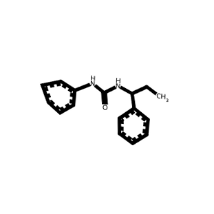 CCC(NC(=O)Nc1ccccc1)c1ccccc1